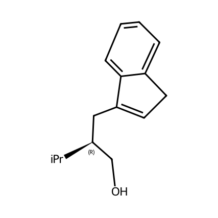 CC(C)[C@H](CO)CC1=CCc2ccccc21